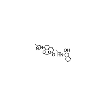 CCOC(=O)C(=Cc1ccc(-n2cnc(C)c2)c(OC)c1)CCCN[C@@H]1c2ccccc2C[C@@H]1O